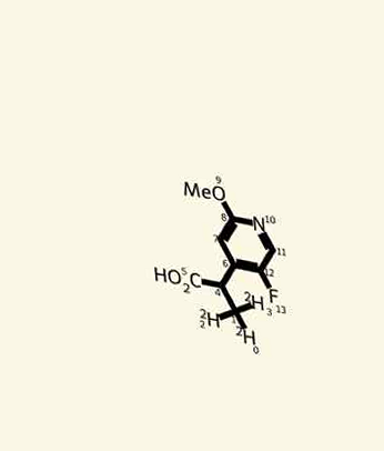 [2H]C([2H])([2H])C(C(=O)O)c1cc(OC)ncc1F